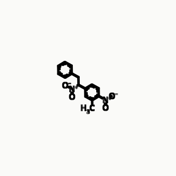 Cc1cc(C(Cc2ccccc2)[N+](=O)[O-])ccc1[N+](=O)[O-]